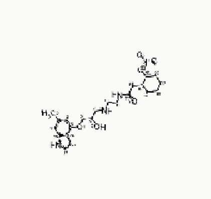 Cc1cc(OCC(O)CNCCNC(=O)CC2CCCCC2O[N+](=O)[O-])c2cc[nH]c2c1